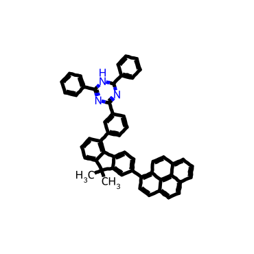 CC1(C)c2cc(-c3ccc4ccc5cccc6ccc3c4c56)ccc2-c2c(-c3cccc(C4=NC(c5ccccc5)NC(c5ccccc5)=N4)c3)cccc21